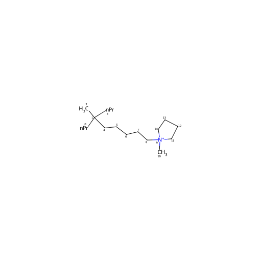 CCCC(C)(CCC)CCCCC[N+]1(C)CCCC1